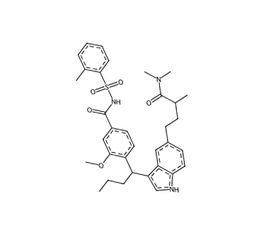 CCCC(c1ccc(C(=O)NS(=O)(=O)c2ccccc2C)cc1OC)c1c[nH]c2ccc(CCC(C)C(=O)N(C)C)cc12